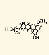 COc1ccc(Cl)c(N(CCO)c2ccc3ncc(-c4cnn(C)c4)nc3c2)c1